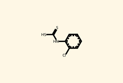 S=C(S)Nc1ccccc1Cl